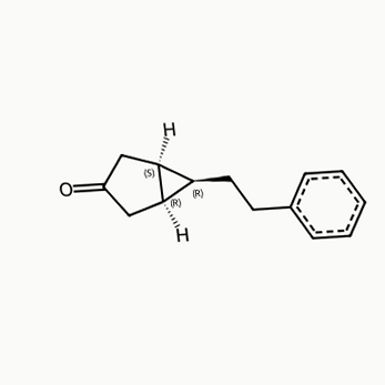 O=C1C[C@@H]2[C@H](CCc3ccccc3)[C@@H]2C1